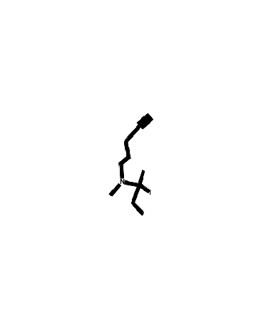 C#CCCCN(C)C(C)(I)CC